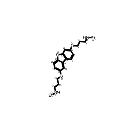 CCNCCCOc1ccc2c(c1)oc1ccc(OCCCNCC)cc12